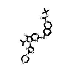 CC(C)n1c(=O)c2cnc(Nc3ccc4c(c3)CN(C(=O)OC(C)(C)C)CC4)nc2n1-c1csc(N2CCOCC2)n1